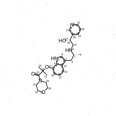 C[C@H](Cc1c[nH]c2c(OC(C)(C)C(=O)N3CCOCC3)cccc12)NC[C@H](O)c1cccnc1